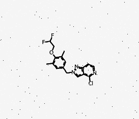 Cc1cc(Cn2cc3c(Cl)nccc3n2)cc(C)c1OCC(F)F